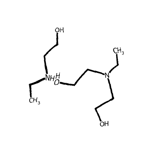 CCN(CCO)CCO.CCNCCO